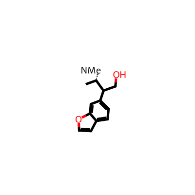 CN[C@@H](C)C(CO)c1ccc2ccoc2c1